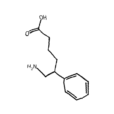 NCC(CCCC(=O)O)c1ccccc1